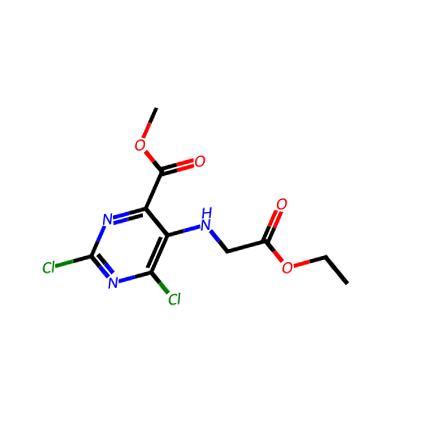 CCOC(=O)CNc1c(Cl)nc(Cl)nc1C(=O)OC